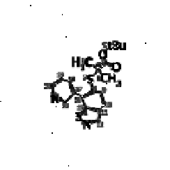 CC(C)(C)OC(=O)C(C)(C)Sc1ccc2cnsc2c1-c1cccnc1